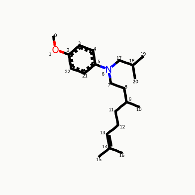 COc1ccc(N(CCC(C)CCC=C(C)C)CC(C)C)cc1